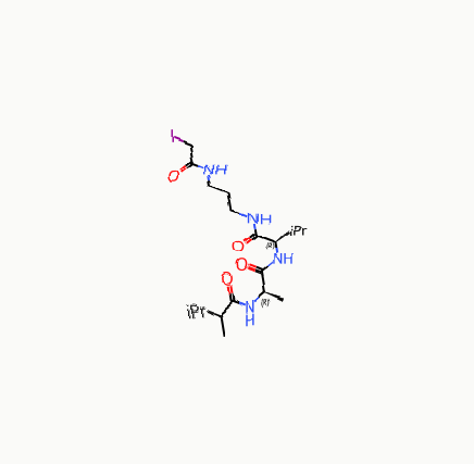 CC(C)C(C)C(=O)N[C@H](C)C(=O)N[C@@H](C(=O)NCCCNC(=O)CI)C(C)C